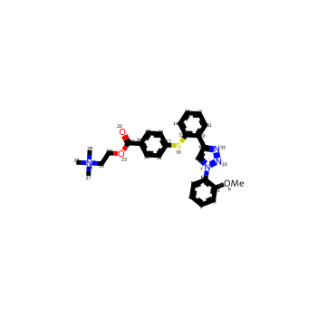 COc1ccccc1-n1cc(-c2ccccc2Sc2ccc(C(=O)OCC[N+](C)(C)C)cc2)nn1